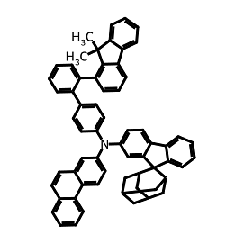 CC1(C)c2ccccc2-c2cccc(-c3ccccc3-c3ccc(N(c4ccc5c(c4)C4(c6ccccc6-5)C5CC6CC(C5)CC4C6)c4ccc5c(ccc6ccccc65)c4)cc3)c21